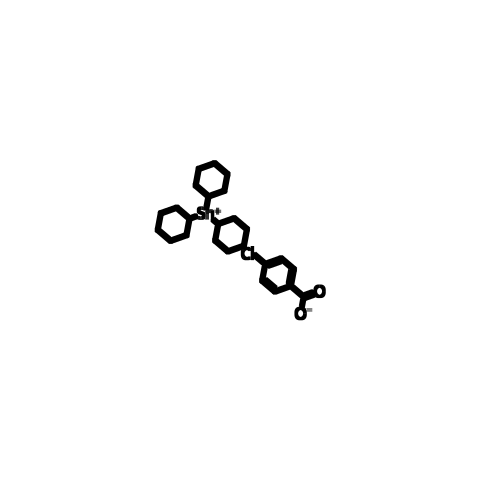 C1CC[CH]([Sn+]([CH]2CCCCC2)[CH]2CCCCC2)CC1.O=C([O-])c1ccc(Cl)cc1